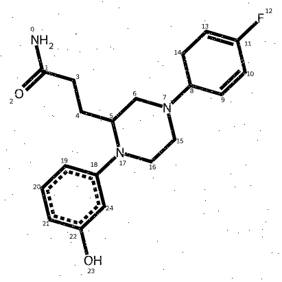 NC(=O)CCC1CN(C2C=CC(F)=CC2)CCN1c1cccc(O)c1